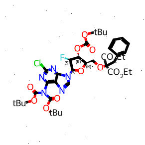 CCOC(=O)C(Cc1ccccc1)(OC[C@H]1O[C@@H](n2cnc3c(N(C(=O)OC(C)(C)C)C(=O)OC(C)(C)C)nc(Cl)nc32)[C@@H](F)[C@@H]1OC(=O)OC(C)(C)C)C(=O)OCC